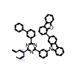 C=C/C=C(\C=C/C)c1nc(-c2cccc(-c3ccccc3)c2)nc(-c2cccc(-n3c4ccccc4c4ccc(-c5cccc6c5oc5ccccc56)cc43)c2)n1